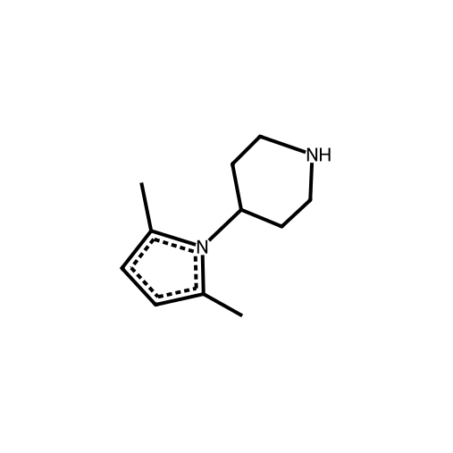 Cc1ccc(C)n1C1CCNCC1